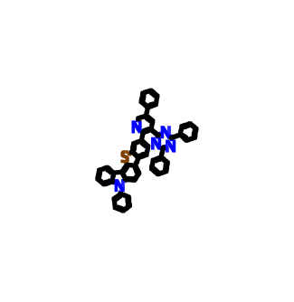 c1ccc(-c2cnc(-c3ccc4c(c3)sc3c4ccc4c3c3ccccc3n4-c3ccccc3)c(-c3nc(-c4ccccc4)nc(-c4ccccc4)n3)c2)cc1